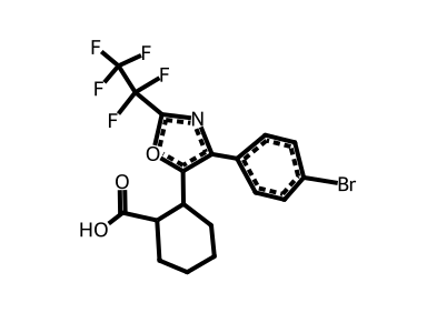 O=C(O)C1CCCCC1c1oc(C(F)(F)C(F)(F)F)nc1-c1ccc(Br)cc1